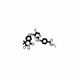 CC1(C)C(=O)NC(=O)c2cc(Nc3nc(Nc4ccc(C(N)=O)cc4)ncc3F)ccc21